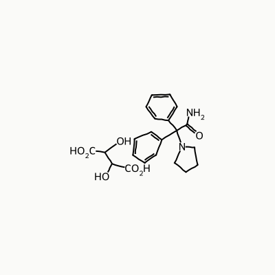 NC(=O)C(c1ccccc1)(c1ccccc1)N1CCCC1.O=C(O)C(O)C(O)C(=O)O